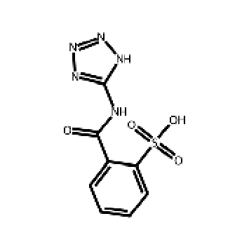 O=C(Nc1nnn[nH]1)c1ccccc1S(=O)(=O)O